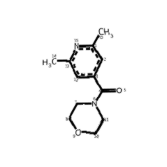 Cc1cc(C(=O)N2CCOCC2)cc(C)n1